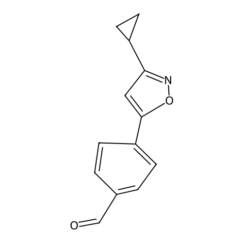 O=Cc1ccc(-c2cc(C3CC3)no2)cc1